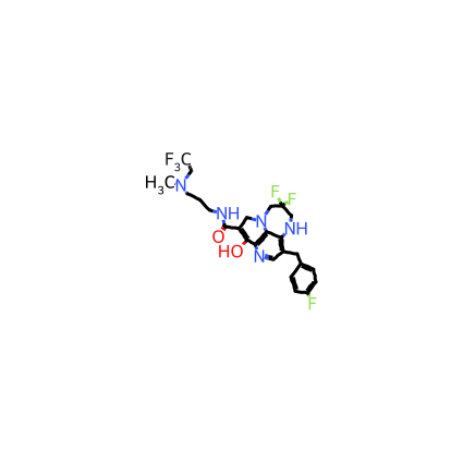 CN(CCCNC(=O)C1=C(O)c2ncc(Cc3ccc(F)cc3)c3c2N(C1)CC(F)(F)CN3)CC(F)(F)F